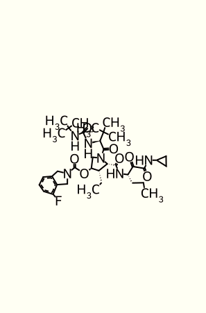 CCC[C@H](NC(=O)[C@@H]1[C@H](CC)[C@@H](OC(=O)N2Cc3cccc(F)c3C2)CN1C(=O)[C@@H](NC(=O)NC(C)(C)C)C(C)(C)C)C(=O)C(=O)NC1CC1